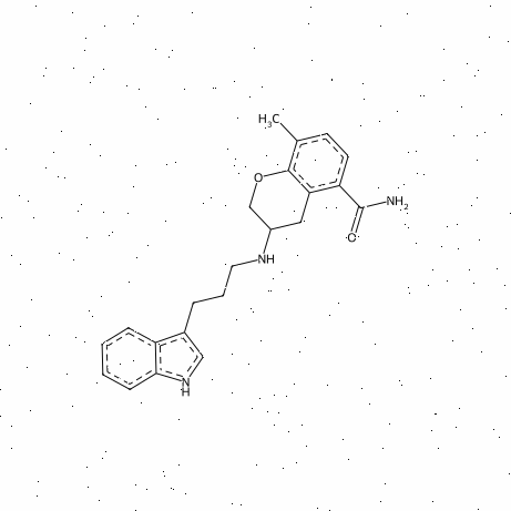 Cc1ccc(C(N)=O)c2c1OCC(NCCCc1c[nH]c3ccccc13)C2